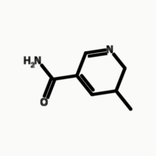 CC1C=C(C(N)=O)C=NC1